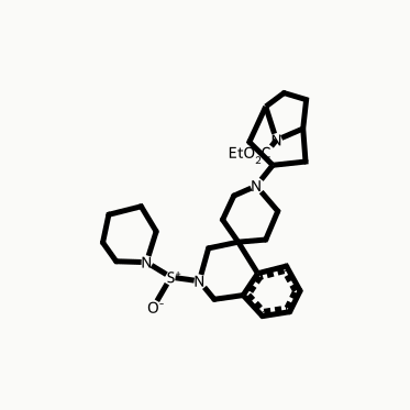 CCOC(=O)N1C2CCC1CC(N1CCC3(CC1)CN([S+]([O-])N1CCCCC1)Cc1ccccc13)C2